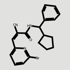 N#CC(=Cc1cccc(Br)n1)C(=O)NC(c1ccccc1)C1CCCC1